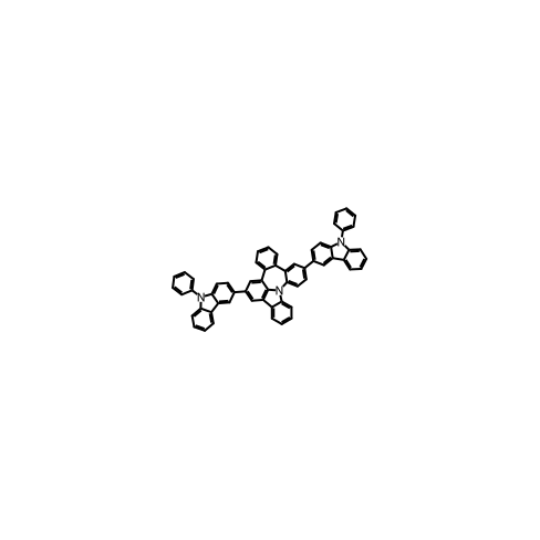 c1ccc(-n2c3ccccc3c3cc(-c4ccc5c(c4)-c4ccccc4-c4cc(-c6ccc7c(c6)c6ccccc6n7-c6ccccc6)cc6c7ccccc7n-5c46)ccc32)cc1